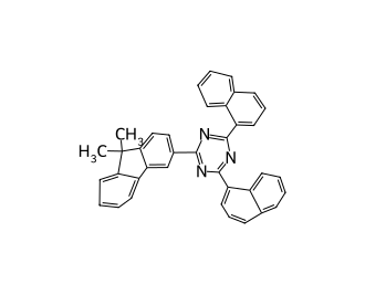 CC1(C)c2ccccc2-c2cc(-c3nc(-c4cccc5ccccc45)nc(-c4cccc5ccccc45)n3)ccc21